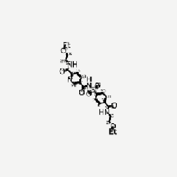 CCOCCNC(=O)c1ccc(S(=O)(=O)NC(=O)c2ccc(C(=O)NCCOCC)nc2)cc1